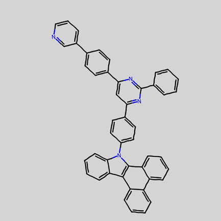 c1ccc(-c2nc(-c3ccc(-c4cccnc4)cc3)cc(-c3ccc(-n4c5ccccc5c5c6ccccc6c6ccccc6c54)cc3)n2)cc1